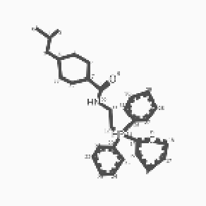 CC(C)CC1CCC(C(=O)NCC[PH](c2ccccc2)(c2ccccc2)c2ccccc2)CC1